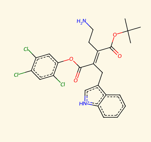 CC(C)(C)OC(=O)C(CCN)=C(Cc1c[nH]c2ccccc12)C(=O)Oc1cc(Cl)c(Cl)cc1Cl